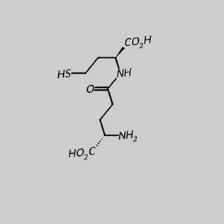 N[C@@H](CCC(=O)N[C@@H](CCS)C(=O)O)C(=O)O